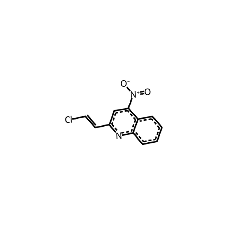 O=[N+]([O-])c1cc(C=CCl)nc2ccccc12